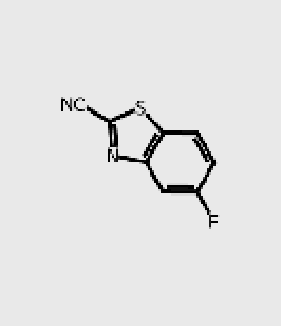 N#Cc1nc2cc(F)ccc2s1